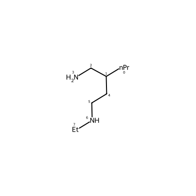 CCCC(CN)CCNCC